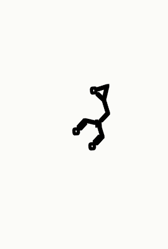 O=CN(C=O)CC1CO1